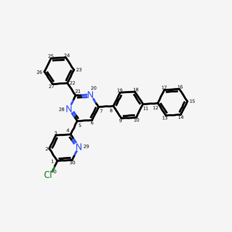 Clc1ccc(-c2cc(-c3ccc(-c4ccccc4)cc3)nc(-c3ccccc3)n2)nc1